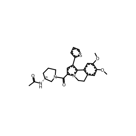 COc1cc2c(cc1OC)-c1c(-c3cccs3)cc(C(=O)N3CCC[C@@H](NC(C)=O)C3)n1CC2